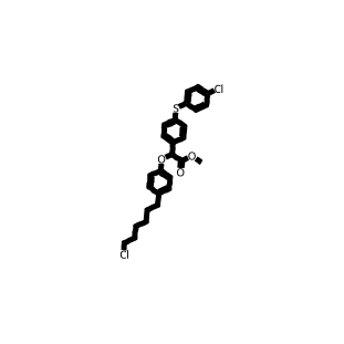 COC(=O)C(Oc1ccc(CCCCCCCl)cc1)c1ccc(Sc2ccc(Cl)cc2)cc1